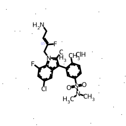 Cc1ccc(S(=O)(=O)N(C)C)cc1-c1c(C)n(C/C(F)=C/CN)c2c(F)cc(Cl)cc12.Cl